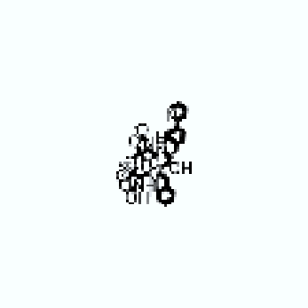 COC(=O)N[C@H](C(=O)N[C@@H](Cc1ccc(-c2ccccn2)cc1)C(O)C[C@H](Cc1ccccc1)NC(=O)[C@@H](NC(=O)O)C(C)(C)S(C)(=O)=O)C(C)(C)C